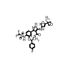 CC(Oc1cc(-c2n[nH]c(Nc3cc(C4(C)COC4)on3)c2C(N)=O)ccc1NS(=O)(=O)C(F)F)c1ccc(F)cc1